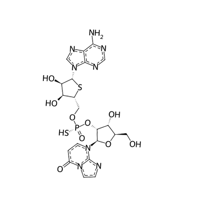 Nc1ncnc2c1ncn2[C@@H]1S[C@H](CO[P@@](=O)(S)O[C@@H]2[C@H](O)[C@@H](CO)O[C@H]2n2ccc(=O)n3ccnc23)[C@@H](O)[C@H]1O